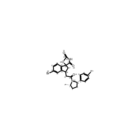 C[C@H]1CC[C@@H](c2ccc(F)cc2)N1C(=O)CC1CC2(OC(=O)NC2=O)c2ccc(Br)cc21